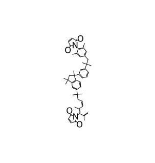 C=C(C)/C(=C(C)\C=C/CC(C)(C)c1ccc2c(c1)C(C)(C)CC2(C)c1cccc(C(C)(C)Cc2cc(C)c(N3C(=O)C=CC3=O)c(C)c2)c1)N1C(=O)C=CC1=O